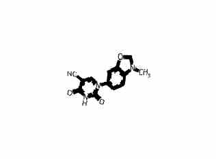 CN1COc2cc(-n3cc(C#N)c(=O)[nH]c3=O)ccc21